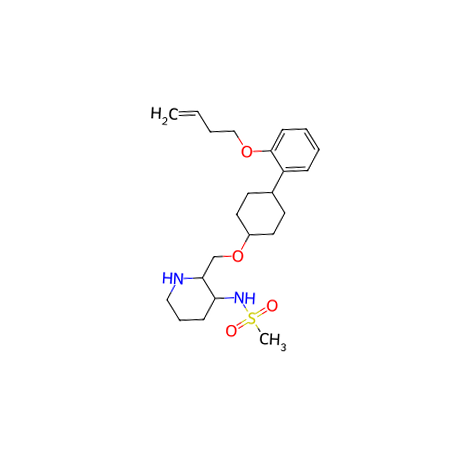 C=CCCOc1ccccc1C1CCC(OCC2NCCCC2NS(C)(=O)=O)CC1